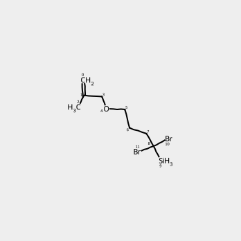 C=C(C)COCCCC([SiH3])(Br)Br